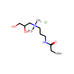 CCCCCCCCCCCC(=O)NCCC[N+](C)(C)CC(O)CO.[Cl-]